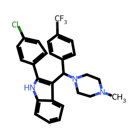 CN1CCN(C(c2ccc(C(F)(F)F)cc2)c2c(-c3ccc(Cl)cc3)[nH]c3ccccc23)CC1